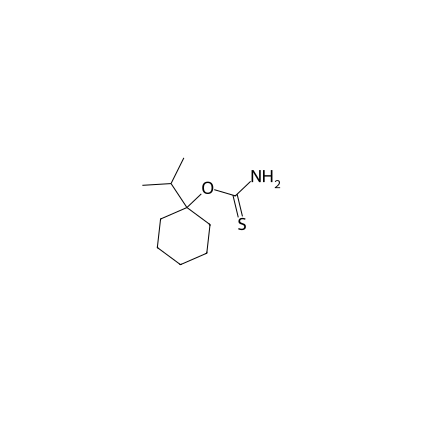 CC(C)C1(OC(N)=S)CCCCC1